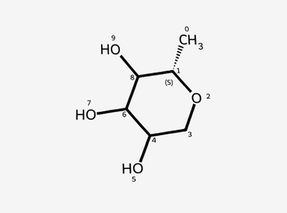 C[C@@H]1OCC(O)C(O)C1O